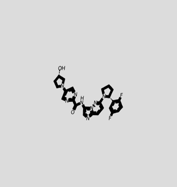 O=C(Nc1cnc2ccc(N3CCC[C@@H]3c3cc(F)ccc3F)nn12)c1ncc(N2CC[C@H](O)C2)cn1